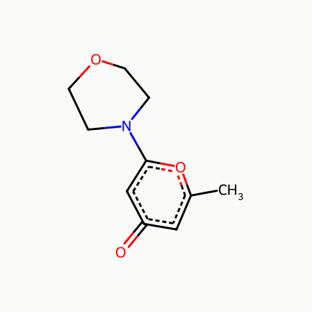 Cc1cc(=O)cc(N2CCOCC2)o1